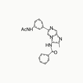 CC(=O)Nc1cccc(-c2cn3c(NC(=O)c4ccccc4)c(C)nc3cn2)c1